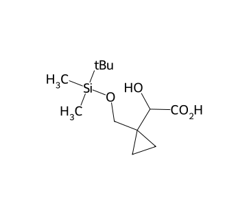 CC(C)(C)[Si](C)(C)OCC1(C(O)C(=O)O)CC1